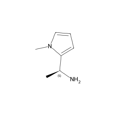 C[C@H](N)c1cccn1C